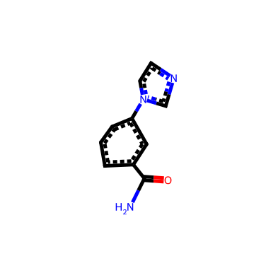 NC(=O)c1cccc(-n2ccnc2)c1